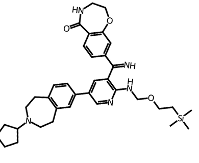 C[Si](C)(C)CCOCNc1ncc(-c2ccc3c(c2)CCN(C2CCCC2)CC3)cc1C(=N)c1ccc2c(c1)OCCNC2=O